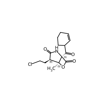 C[C@@]12OC(=O)[C@]1(C(=O)C1C=CCCC1)NC(=O)[C@@H]2CCCl